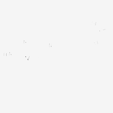 CC(C)(C)c1ccc(-c2ccc3nc(N)nc(Cc4ccccc4)c3n2)cc1